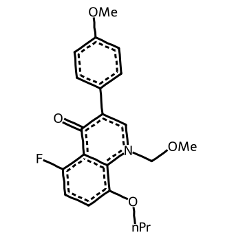 CCCOc1ccc(F)c2c(=O)c(-c3ccc(OC)cc3)cn(COC)c12